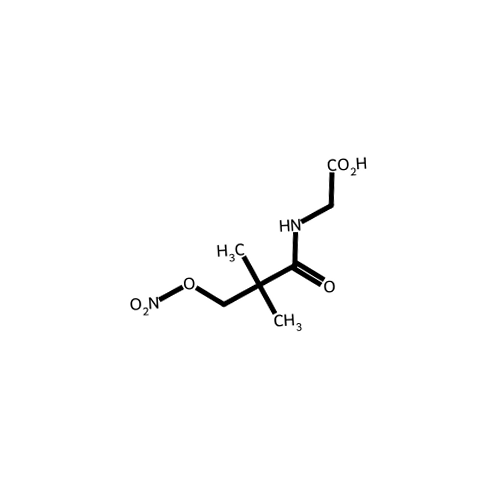 CC(C)(CO[N+](=O)[O-])C(=O)NCC(=O)O